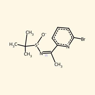 C/C(=N/[S+]([O-])C(C)(C)C)c1cccc(Br)n1